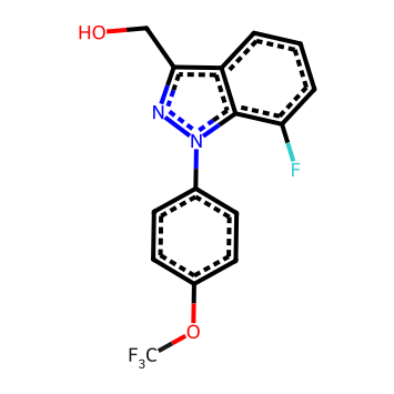 OCc1nn(-c2ccc(OC(F)(F)F)cc2)c2c(F)cccc12